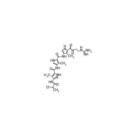 C=C(Cl)C(=O)Nc1n[nH]c(C(=O)Nc2c[nH]c(C(=O)Nc3c[nH]c(C(=O)NCCNC(=N)N)c3C)c2C)c1C